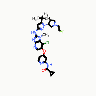 Cn1c(Nc2cc(C(C)(C)C)n([C@@H]3CCN(CCF)C3)n2)nc2ncc(Oc3ccnc(NC(=O)C4CC4)c3)c(Cl)c21